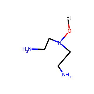 CCON(CCN)CCN